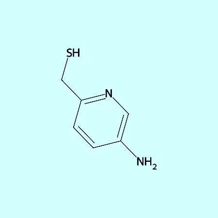 Nc1ccc(CS)nc1